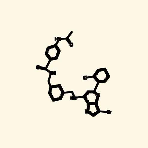 CC(=O)Nc1ccc(C(=O)NCc2cccc(CNc3cc(-c4ccccc4Cl)nc4c(Br)cnn34)c2)cc1